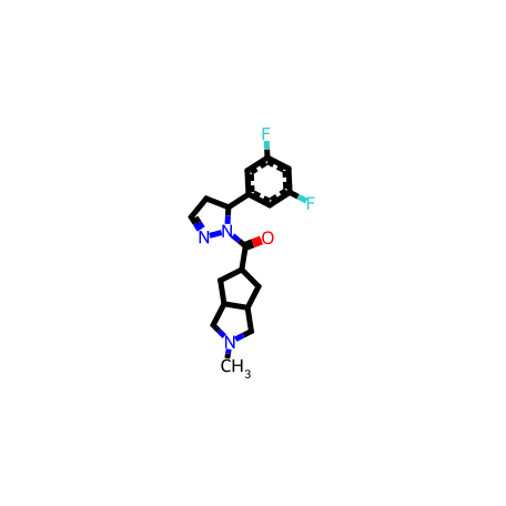 CN1CC2CC(C(=O)N3N=CCC3c3cc(F)cc(F)c3)CC2C1